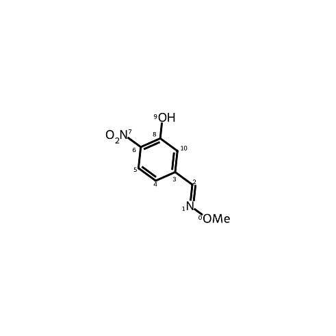 CO/N=C/c1ccc([N+](=O)[O-])c(O)c1